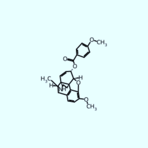 COc1ccc(C(=O)O[C@H]2C=C[C@H]3[C@H]4Cc5ccc(OC)c6c5[C@@]3(CCN4C)[C@H]2O6)cc1